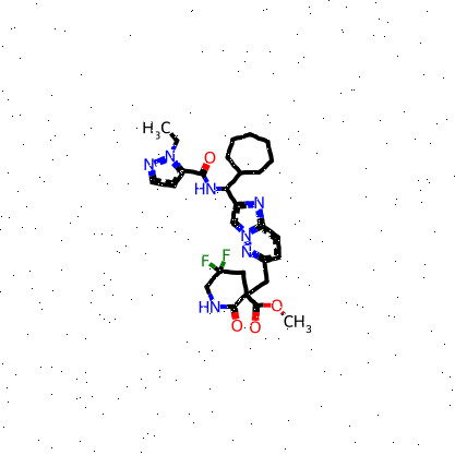 CCn1nccc1C(=O)NC(c1cn2nc(CC3(C(=O)OC)CC(F)(F)CNC3=O)ccc2n1)C1CCCCCC1